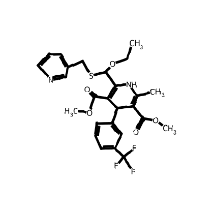 CCOC(SCc1cccnc1)C1=C(C(=O)OC)C(c2cccc(C(F)(F)F)c2)C(C(=O)OC)=C(C)N1